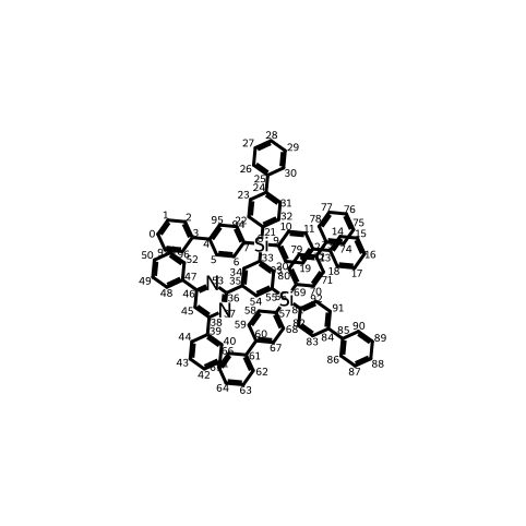 c1ccc(-c2ccc([Si](c3ccc(-c4ccccc4)cc3)(c3ccc(-c4ccccc4)cc3)c3cc(-c4nc(-c5ccccc5)cc(-c5ccccc5)n4)cc([Si](c4ccc(-c5ccccc5)cc4)(c4ccc(-c5ccccc5)cc4)c4ccc(-c5ccccc5)cc4)c3)cc2)cc1